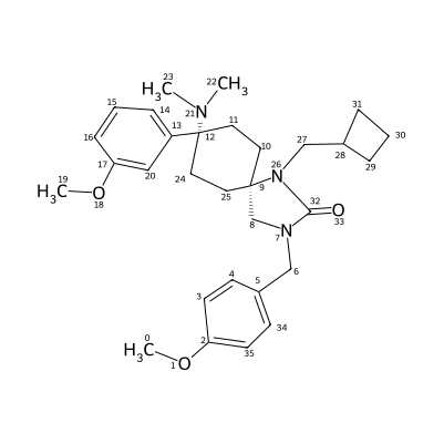 COc1ccc(CN2C[C@]3(CC[C@@](c4cccc(OC)c4)(N(C)C)CC3)N(CC3CCC3)C2=O)cc1